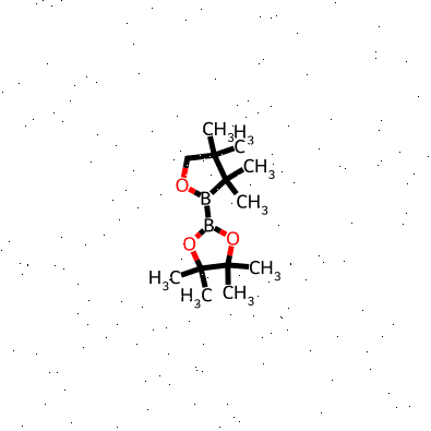 CC1(C)COB(B2OC(C)(C)C(C)(C)O2)C1(C)C